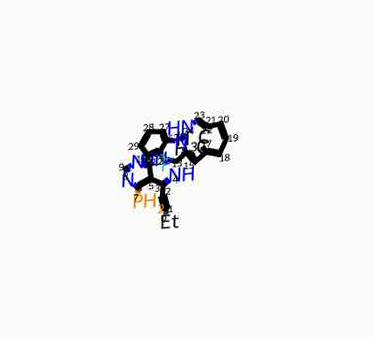 CCC#CC(=N)c1c(P)ncnc1NC/C1=C/C(C)=C/C=C\C(C)=C\NN1c1ccccc1F